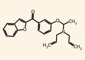 C=CCN(CC=C)C(C)Oc1cccc(C(=O)c2cc3ccccc3o2)c1